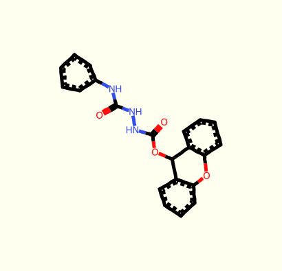 O=C(NNC(=O)OC1c2ccccc2Oc2ccccc21)Nc1ccccc1